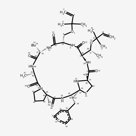 C=CC(C)(C)OC[C@@H]1NC(=O)[C@@H]([C@@H](C)OC(C)(C)C=C)NC(=O)[C@@H]2CS[C@H](N2)[C@H](Cc2ccccc2)NC(=O)[C@H]2CCCN2C(=O)[C@H](C)NC(=O)[C@H]([C@@H](C)CC)NC1=O